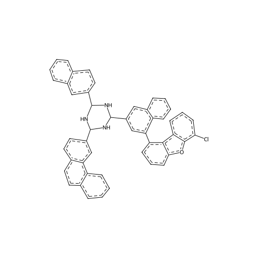 Clc1cccc2c1oc1cccc(-c3cc(C4NC(c5ccc6ccccc6c5)NC(c5ccc6ccc7ccccc7c6c5)N4)cc4ccccc34)c12